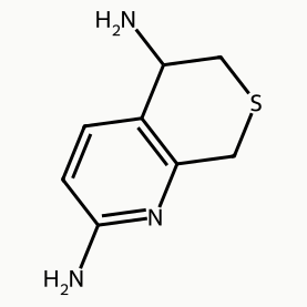 Nc1ccc2c(n1)CSCC2N